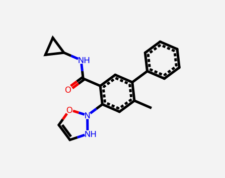 Cc1cc(N2NC=CO2)c(C(=O)NC2CC2)cc1-c1ccccc1